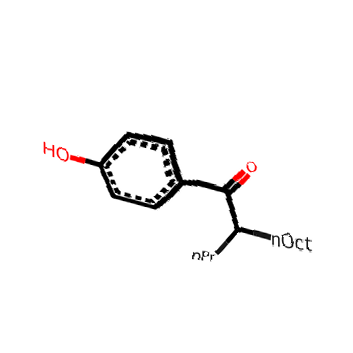 CCCCCCCCC(CCC)C(=O)c1ccc(O)cc1